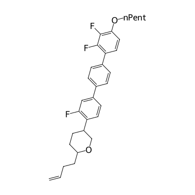 C=CCCC1CCC(c2ccc(-c3ccc(-c4ccc(OCCCCC)c(F)c4F)cc3)cc2F)CO1